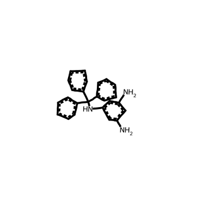 Nc1cc(N)cc(NC(c2ccccc2)(c2ccccc2)c2ccccc2)c1